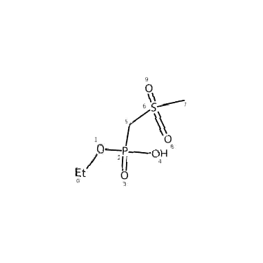 CCOP(=O)(O)CS(C)(=O)=O